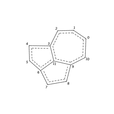 c1ccc2ccc3ccc(c1)c23